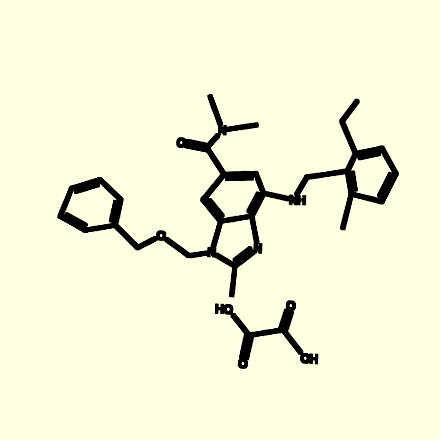 CCc1cccc(C)c1CNc1cc(C(=O)N(C)C)cc2c1nc(C)n2COCc1ccccc1.O=C(O)C(=O)O